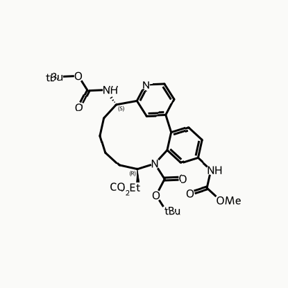 CCOC(=O)[C@H]1CCCC[C@H](NC(=O)OC(C)(C)C)c2cc(ccn2)-c2ccc(NC(=O)OC)cc2N1C(=O)OC(C)(C)C